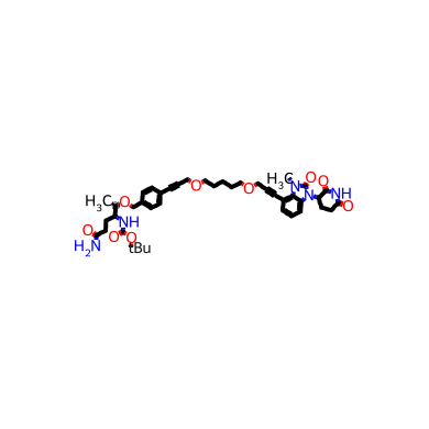 C[C@@H](OCc1ccc(C#CCOCCCCCOCC#Cc2cccc3c2n(C)c(=O)n3C2CCC(=O)NC2=O)cc1)C(CCC(N)=O)NC(=O)OC(C)(C)C